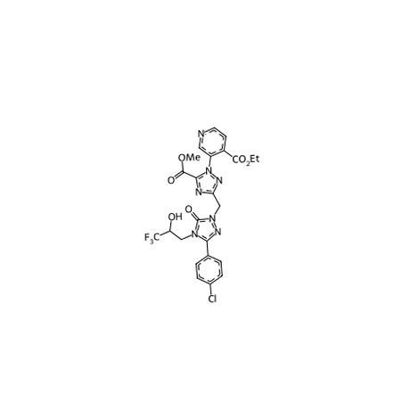 CCOC(=O)c1ccncc1-n1nc(Cn2nc(-c3ccc(Cl)cc3)n(CC(O)C(F)(F)F)c2=O)nc1C(=O)OC